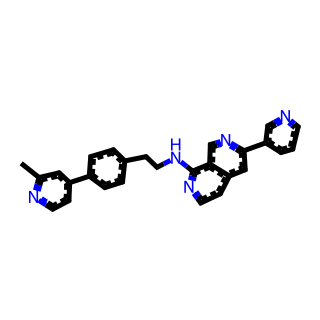 Cc1cc(-c2ccc(CCNc3nccc4cc(-c5cccnc5)ncc34)cc2)ccn1